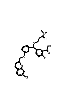 CN(C)C(=O)CCSC(c1cccc(OCc2ccc3ccc(Cl)cc3n2)c1)c1ccc(Cl)c(C(=O)O)c1